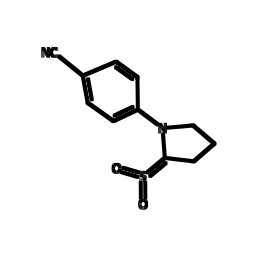 N#Cc1ccc(N2CCCC2=S(=O)=O)cc1